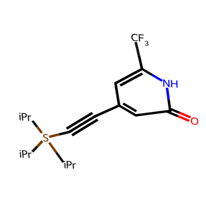 CC(C)S(C#Cc1cc(C(F)(F)F)[nH]c(=O)c1)(C(C)C)C(C)C